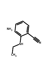 CCNc1ccccc1C#N.N